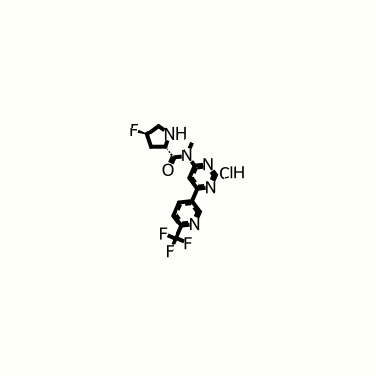 CN(C(=O)[C@@H]1C[C@@H](F)CN1)c1cc(-c2ccc(C(F)(F)F)nc2)ncn1.Cl